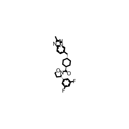 Cc1nc2ccc(C[C@H]3CC[C@H](C(=O)N4OCC[C@H]4c4cc(F)cc(F)c4)CC3)cn2n1